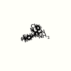 N#Cc1c(N)nc(NCc2ccc(C(F)(F)F)cc2)c(C#N)c1-c1cccc(Cl)c1